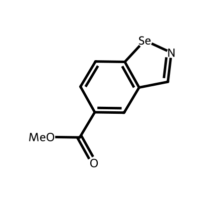 COC(=O)c1ccc2[se]ncc2c1